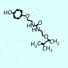 C=C(C)C(=C)OCCNC(=O)NCCOc1ccc(O)cc1